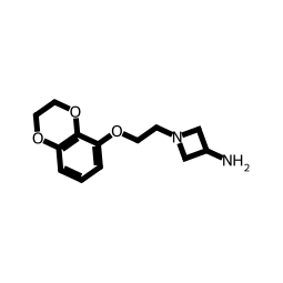 NC1CN(CCOc2cccc3c2OCCO3)C1